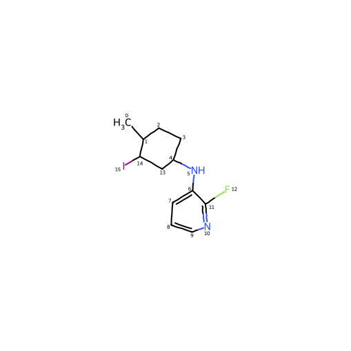 CC1CCC(Nc2cccnc2F)CC1I